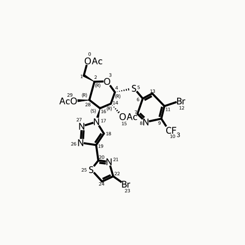 CC(=O)OC[C@H]1O[C@H](Sc2cnc(C(F)(F)F)c(Br)c2)[C@H](OC(C)=O)[C@@H](n2cc(-c3nc(Br)cs3)nn2)[C@H]1OC(C)=O